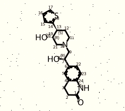 O=C1CCc2cc([C@@H](O)CN3CC[C@H](c4cccs4)[C@@H](O)C3)ccc2N1